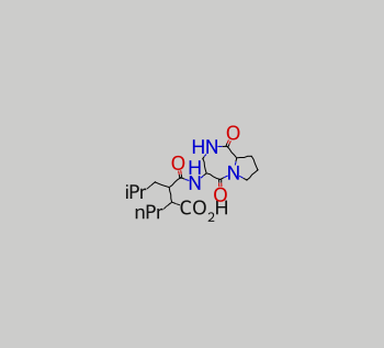 CCCC(C(=O)O)C(CC(C)C)C(=O)NC1CNC(=O)C2CCCN2C1=O